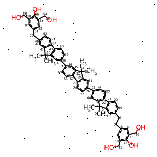 CC1(C)c2cc(CCc3cc(CO)c(O)c(CO)c3)ccc2-c2ccc(-c3ccc4c(c3)C(C)(C)c3cc(-c5ccc6c(c5)C(C)(C)c5cc(Cc7cc(CO)c(O)c(CO)c7)ccc5-6)ccc3-4)cc21